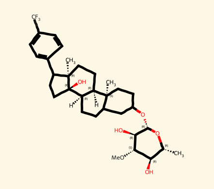 CO[C@@H]1[C@@H](O)[C@H](OC2CC[C@@]3(C)C(CC[C@@H]4[C@H]3CC[C@]3(C)C(c5ccc(C(F)(F)F)cc5)CC[C@@]43O)C2)O[C@H](C)[C@H]1O